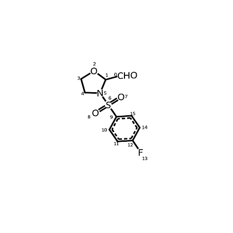 O=CC1OCCN1S(=O)(=O)c1ccc(F)cc1